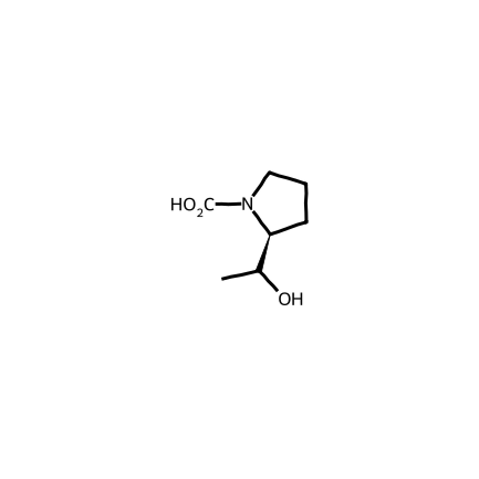 CC(O)[C@@H]1CCCN1C(=O)O